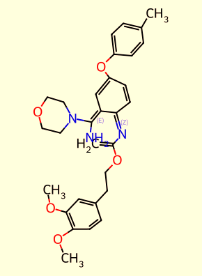 C=C(/N=C1/C=CC(Oc2ccc(C)cc2)=C/C1=C(/N)N1CCOCC1)OCCc1ccc(OC)c(OC)c1